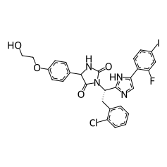 O=C1NC(c2ccc(OCCO)cc2)C(=O)N1[C@@H](Cc1ccccc1Cl)c1ncc(-c2ccc(I)cc2F)[nH]1